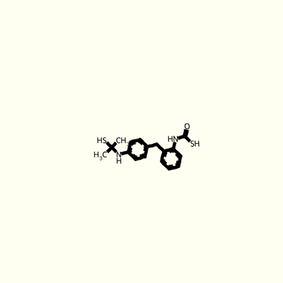 CC(C)(S)Nc1ccc(Cc2ccccc2NC(=O)S)cc1